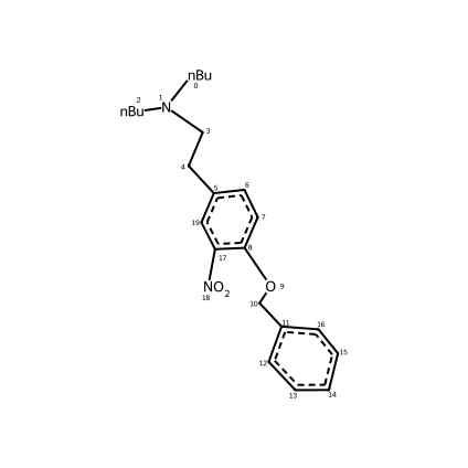 CCCCN(CCCC)CCc1ccc(OCc2ccccc2)c([N+](=O)[O-])c1